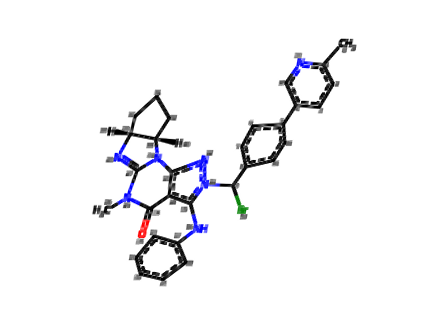 Cc1ccc(-c2ccc(C(Br)n3nc4c(c3Nc3ccccc3)C(=O)N(C)C3=N[C@@H]5CCC[C@@H]5N34)cc2)cn1